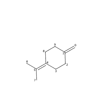 C=C1CCC(=C(C)C)CC1